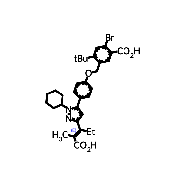 CC/C(=C(/C)C(=O)O)c1cc(-c2ccc(OCc3cc(C(=O)O)c(Br)cc3C(C)(C)C)cc2)n(C2CCCCC2)n1